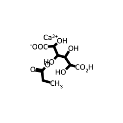 CCC(=O)[O-].O=C([O-])C(O)C(O)C(O)C(O)C(=O)O.[Ca+2]